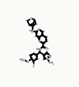 COc1ccc(C(NC(=O)c2ccc3cnc(NC4CC5CC4CO5)cc3n2)c2cnn(C)c2)cc1F